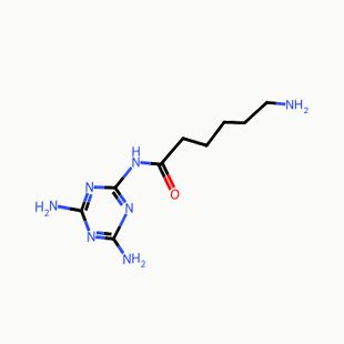 NCCCCCC(=O)Nc1nc(N)nc(N)n1